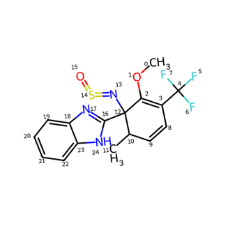 COC1=C(C(F)(F)F)C=CC(C)C1(N=S=O)c1nc2ccccc2[nH]1